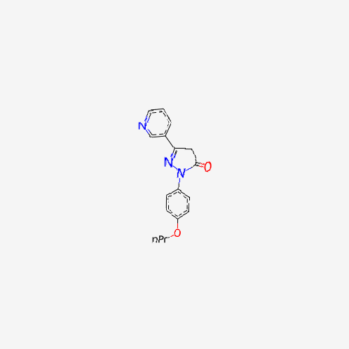 CCCOc1ccc(N2N=C(c3cccnc3)CC2=O)cc1